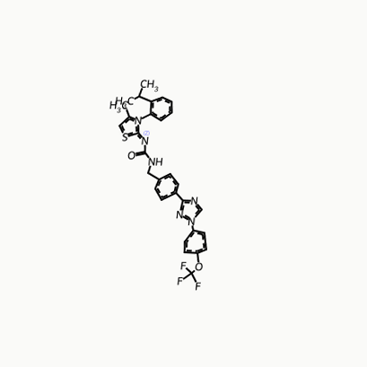 Cc1cs/c(=N\C(=O)NCc2ccc(-c3ncn(-c4ccc(OC(F)(F)F)cc4)n3)cc2)n1-c1ccccc1C(C)C